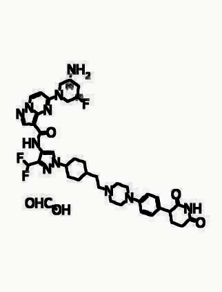 N[C@@H]1C[C@@H](F)CN(c2ccn3ncc(C(=O)Nc4cn(C5CCC(CCN6CCN(c7ccc(C8CCC(=O)NC8=O)cc7)CC6)CC5)nc4C(F)F)c3n2)C1.O=CO